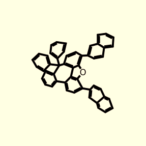 c1ccc(C2(c3ccccc3)c3ccccc3-c3ccc(-c4ccc5ccccc5c4)c4oc5c(-c6ccc7ccccc7c6)ccc2c5c34)cc1